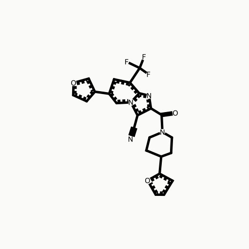 N#Cc1c(C(=O)N2CCC(c3ccco3)CC2)nc2c(C(F)(F)F)cc(-c3ccoc3)cn12